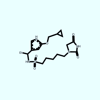 CCC(NS(=O)(=O)CCCCCN1CC(=O)NC1=O)c1c[nH]c(OCC2CC2)c1